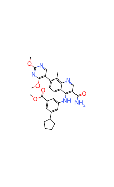 COC(=O)c1cc(Nc2c(C(N)=O)cnc3c(C)c(-c4cnc(OC)nc4OC)ccc23)cc(C2CCCC2)c1